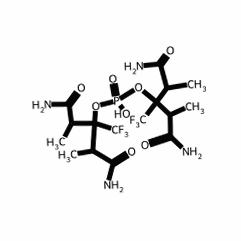 CC(C(N)=O)C(OP(=O)(O)OC(C(C)C(N)=O)(C(C)C(N)=O)C(F)(F)F)(C(C)C(N)=O)C(F)(F)F